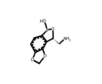 NC[C@H]1OB(O)c2ccc3c(c21)OCO3